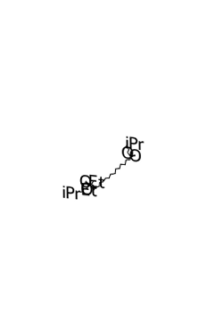 CCC(CCCCCCCCCCCCCC(=O)OCCC(C)C)C(CC)C(=O)OCCC(C)C